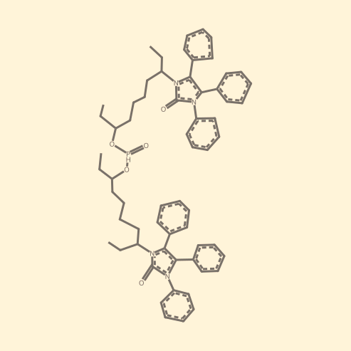 CCC(CCCCC(CC)n1c(-c2ccccc2)c(-c2ccccc2)n(-c2ccccc2)c1=O)O[PH](=O)OC(CC)CCCCC(CC)n1c(-c2ccccc2)c(-c2ccccc2)n(-c2ccccc2)c1=O